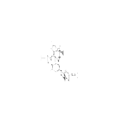 Cc1cc2c(NC(C)c3ccc(-n4cc(C5CC5)nn4)cc3)ncnc2o1